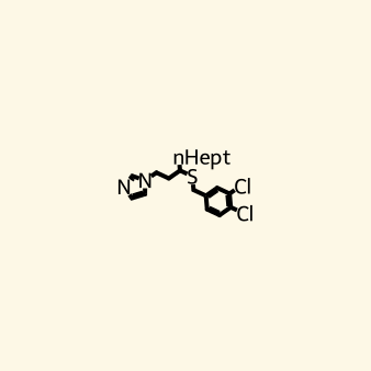 CCCCCCCC(CCn1ccnc1)SCc1ccc(Cl)c(Cl)c1